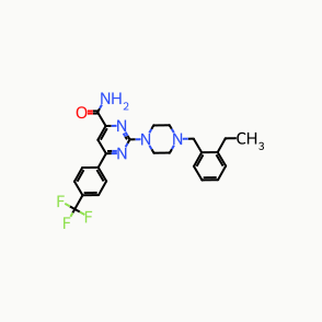 CCc1ccccc1CN1CCN(c2nc(C(N)=O)cc(-c3ccc(C(F)(F)F)cc3)n2)CC1